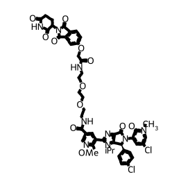 COc1ncc(C(=O)NCCOCCOCCNC(=O)COc2ccc3c(c2)C(=O)N(C2CCC(=O)NC2=O)C3=O)cc1-c1nc2c(n1C(C)C)[C@H](c1ccc(Cl)cc1)N(c1cc(Cl)cn(C)c1=O)C2=O